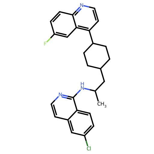 CC(CC1CCC(c2ccnc3ccc(F)cc23)CC1)Nc1nccc2cc(Cl)ccc12